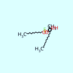 CCCCCCCCCCCCOP(F)Oc1cc(C)c(O)cc1CCCCCCCCCCCC